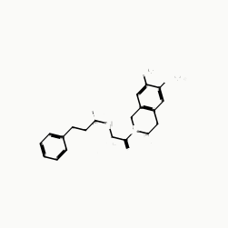 COc1cc2c(cc1OC)CN(C(=O)[C@H](C)N[C@@H](CCc1ccccc1)C(=O)O)[C@@H](C(=O)O)C2